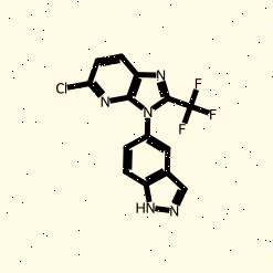 FC(F)(F)c1nc2ccc(Cl)nc2n1-c1ccc2[nH]ncc2c1